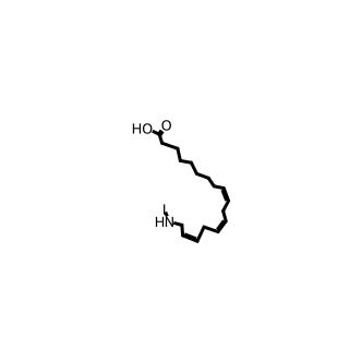 O=C(O)CCCCCCC/C=C\C/C=C\C/C=C\CNI